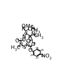 CON=C(C)C(=NOC(=O)N(C)SN(C)C(=O)Oc1ccc([N+](=O)[O-])cc1)C(=O)N(C)C